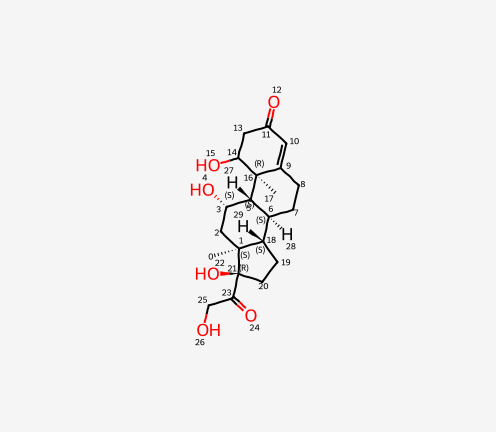 C[C@]12C[C@H](O)[C@H]3[C@@H](CCC4=CC(=O)CC(O)[C@@]43C)[C@@H]1CC[C@]2(O)C(=O)CO